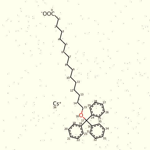 O=C([O-])CCCCCCCCCCCCCCCOC(c1ccccc1)(c1ccccc1)c1ccccc1.[Cs+]